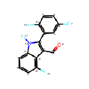 O=Cc1c(-c2cc(F)ccc2F)n(F)c2cccc(F)c12